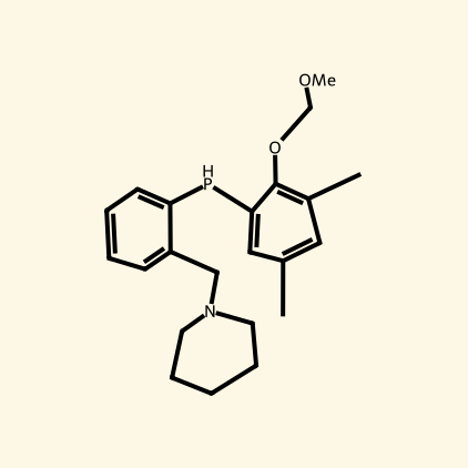 COCOc1c(C)cc(C)cc1Pc1ccccc1CN1CCCCC1